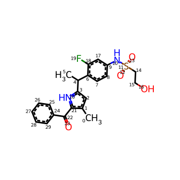 Cc1cc(C(C)c2ccc(NS(=O)(=O)CCO)cc2F)[nH]c1C(=O)c1ccccc1